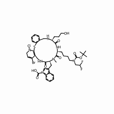 CN1C(=O)[C@H](CCCCN(CC(F)F)C(=O)OC(C)(C)C)NC(=O)[C@H](CCCO)NCc2ccccc2SC2=C(CNC(=O)[C@@H]1Cc1cn(C(=O)O)c3ccccc13)C(Br)=CCN2Cl